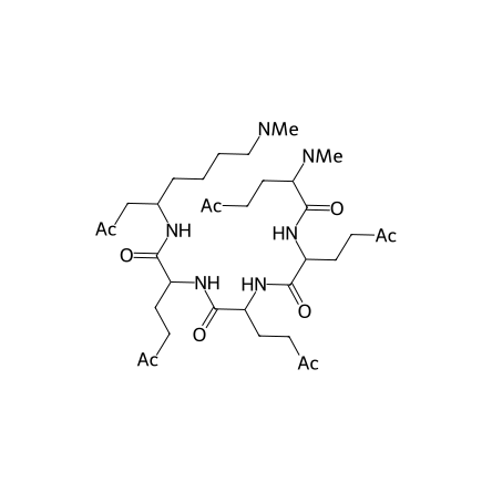 CNCCCCC(CC(C)=O)NC(=O)C(CCC(C)=O)NC(=O)C(CCC(C)=O)NC(=O)C(CCC(C)=O)NC(=O)C(CCC(C)=O)NC